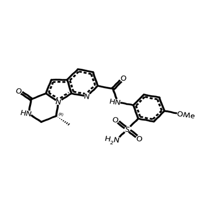 COc1ccc(NC(=O)c2ccc3cc4n(c3n2)[C@H](C)CNC4=O)c(S(N)(=O)=O)c1